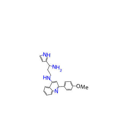 COc1ccc(-c2cc(NCCC(N)c3cc[nH]c3)c3ccccc3n2)cc1